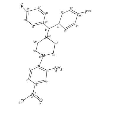 Nc1cc([N+](=O)[O-])ccc1N1CCN(C(c2ccc(F)cc2)C2C=CC(F)=CC2)CC1